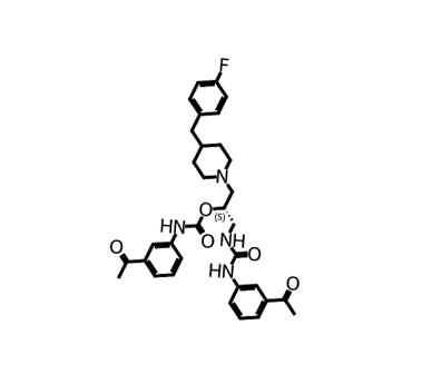 CC(=O)c1cccc(NC(=O)NC[C@@H](CN2CCC(Cc3ccc(F)cc3)CC2)OC(=O)Nc2cccc(C(C)=O)c2)c1